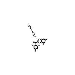 COCCOCCOCCOP(Cc1c(C)cc(C)cc1C)C(=O)c1c(C)cc(C)cc1C